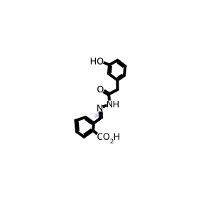 O=C(Cc1cccc(O)c1)N/N=C/c1ccccc1C(=O)O